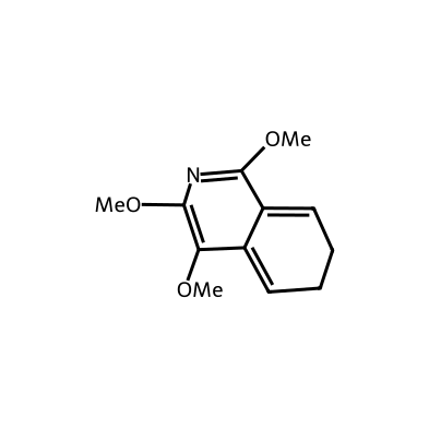 COc1nc(OC)c2c(c1OC)=CCCC=2